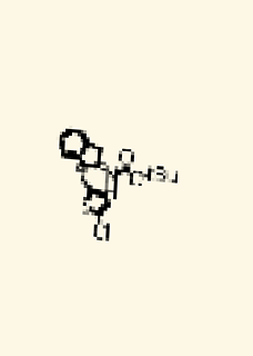 CC(C)(C)OC(=O)N[C@@H]1Cc2ccccc2[C@@H]1Cc1ccc(Cl)s1